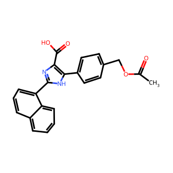 CC(=O)OCc1ccc(-c2[nH]c(-c3cccc4ccccc34)nc2C(=O)O)cc1